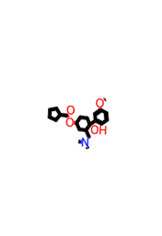 COc1cccc(C2(O)CCC(OC(=O)C3CCCC3)CC2CN(C)C)c1